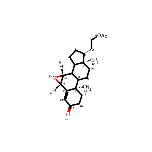 CC(=O)OCC[C@H]1CCC2C3C(CC[C@@]21C)[C@@]1(C)CCC(=O)C=C1[C@@H]1O[C@H]31